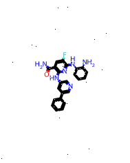 NC(=O)c1cc(F)c(N[C@@H]2CCCC[C@@H]2N)nc1Nc1cncc(-c2ccccc2)c1